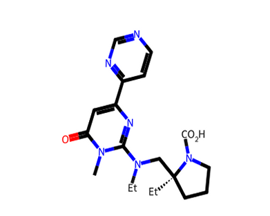 CCN(C[C@]1(CC)CCCN1C(=O)O)c1nc(-c2ccncn2)cc(=O)n1C